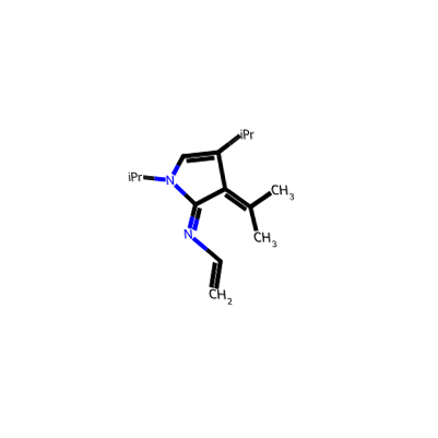 C=C/N=C1\C(=C(C)C)C(C(C)C)=CN1C(C)C